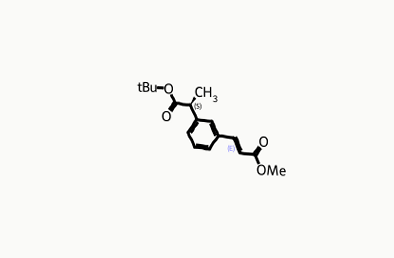 COC(=O)/C=C/c1cccc([C@H](C)C(=O)OC(C)(C)C)c1